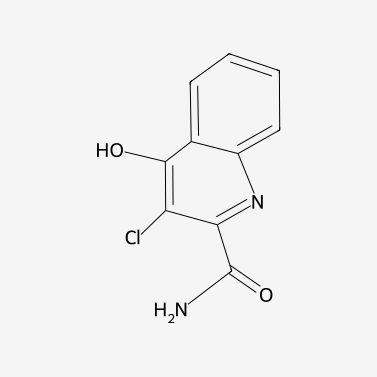 NC(=O)c1nc2ccccc2c(O)c1Cl